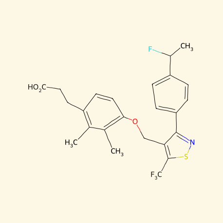 Cc1c(CCC(=O)O)ccc(OCc2c(-c3ccc(C(C)F)cc3)nsc2C(F)(F)F)c1C